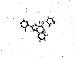 Cc1ccccc1-c1nc2c3ccccc3nc(N[C@H]3CCNC3=O)n2n1